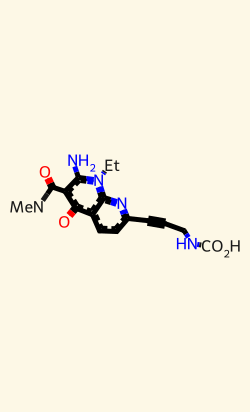 CCn1c(N)c(C(=O)NC)c(=O)c2ccc(C#CCNC(=O)O)nc21